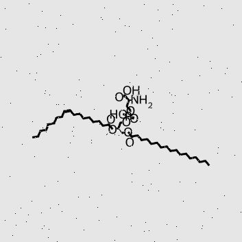 CCCCCCCC/C=C\CCCCCCCC(=O)O[C@H](COC(=O)CCCCCCCCCCCCCCCC)COP(=O)(O)OC[C@H](N)C(=O)O